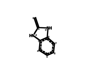 [CH]=C1Nc2ccccc2N1